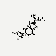 Cc1nc(-c2ccc3nc(C(N)=O)cn3c2)sc1C